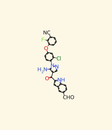 N#Cc1cccc(Oc2ccc(-n3ncc(C(=O)c4cc5cc(C=O)ccc5[nH]4)c3N)c(Cl)c2)c1F